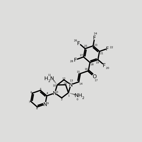 N[C@@]12CN(c3ccccn3)[C@@](N)(CN1/C=C/C(=O)c1c(F)c(F)c(F)c(F)c1F)C2